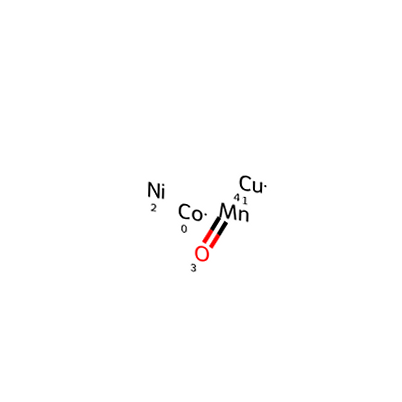 [Co].[Cu].[Ni].[O]=[Mn]